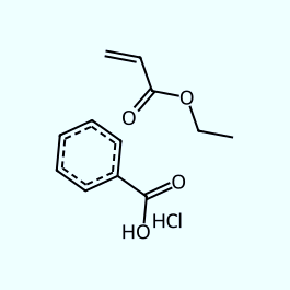 C=CC(=O)OCC.Cl.O=C(O)c1ccccc1